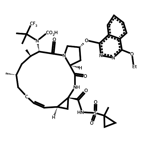 CCOc1nnc(O[C@@H]2C[C@H]3C(=O)N[C@]4(C(=O)NS(=O)(=O)C5(C)CC5)C[C@H]4C=CCC[C@H](C)C[C@@H](C)[C@H](N(C(=O)O)C(C)(C)C(F)(F)F)C(=O)N3C2)c2ccccc12